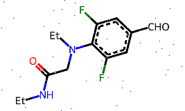 CCNC(=O)CN(CC)c1c(F)cc(C=O)cc1F